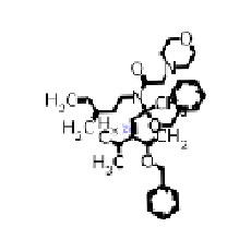 C=CC(=C)CCN(C(=O)CN1CCOCC1)C(C)(/C=C(\C(=C)OCc1ccccc1)C(C)C)OCc1ccccc1